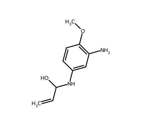 C=CC(O)Nc1ccc(OC)c(N)c1